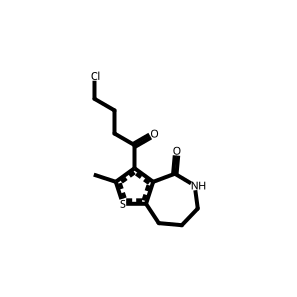 Cc1sc2c(c1C(=O)CCCCl)C(=O)NCCC2